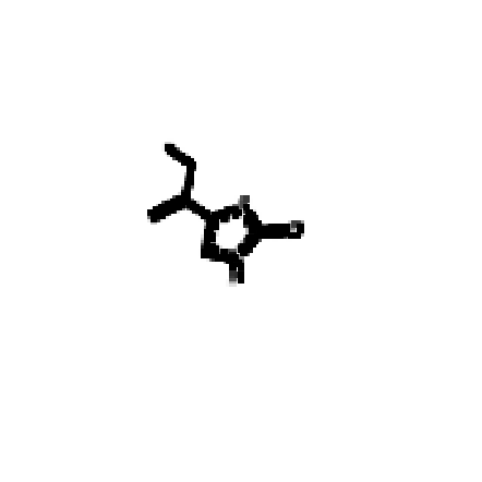 C=C(CC)c1c[nH]c(=O)s1